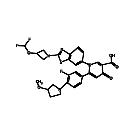 COC1CCN(c2ccc(-c3cc(=O)c(C(=O)O)cn3-c3ccc4nc(N5CC(OC(F)F)C5)sc4c3)cc2F)C1